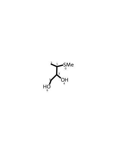 CSC(C)C(O)CO